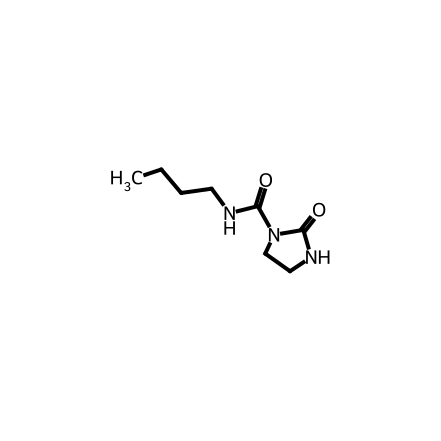 CCCCNC(=O)N1CCNC1=O